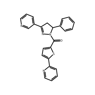 O=C(c1ccc(-c2ccccn2)s1)N1N=C(c2cccnc2)CC1c1ccccc1